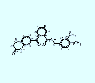 Cc1ccc(CNC(=O)c2ccccc2C(=O)c2ccc3c(c2)NC(=O)CO3)cc1C